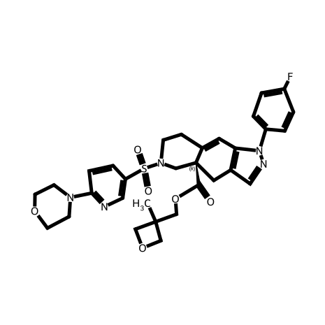 CC1(COC(=O)[C@]23Cc4cnn(-c5ccc(F)cc5)c4C=C2CCN(S(=O)(=O)c2ccc(N4CCOCC4)nc2)C3)COC1